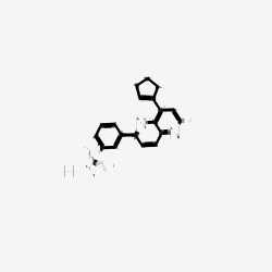 NS(=O)(=O)c1cccc(-c2ccc3nccc(C4=CCCC4)c3n2)c1